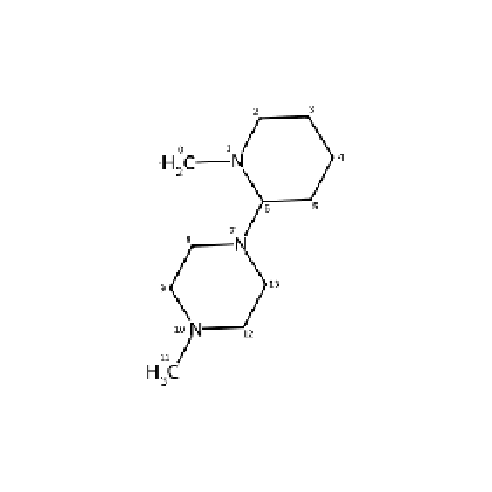 [CH2]N1CCCCC1N1CCN(C)CC1